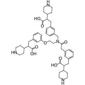 O=C(O)C(Cc1cccc(CC(=O)N(CCOc2cccc(CC(C(=O)O)C3CCNCC3)c2)Cc2cccc(CC(C(=O)O)C3CCNCC3)c2)c1)C1CCNCC1